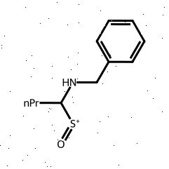 CCCC(NCc1ccccc1)[S+]=O